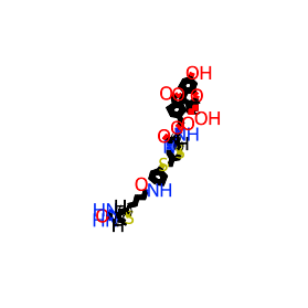 O=C(CCCC[C@H]1SC[C@H]2NC(=O)N[C@H]21)Nc1ccc(SCC2=CN3C(=O)[C@H](NOC(=O)c4ccc5c(c4)C4(OC5=O)c5ccc(O)cc5Oc5cc(O)ccc54)[C@@H]3SC2)cc1